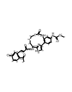 COC(=O)Nc1ccc2c(c1)NC(=O)CCCCC(NC(=O)/C=C/c1cc(Cl)ccc1C(C)=O)c1nc-2c[nH]1